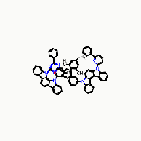 Cc1cc(C)c(B(c2cccc(-n3c4ccccc4c4c5c6ccccc6n(-c6cccc(-c7ccccc7)n6)c5ccc43)c2)c2cccc(-n3c4ccccc4c4ccc5c6ccccc6n(-c6nc(-c7ccccc7)nc(-c7ccccc7)n6)c5c43)c2)c(C)c1